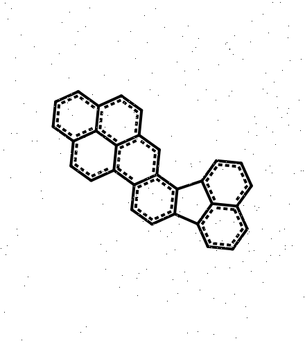 c1cc2c3c(cccc3c1)-c1c-2ccc2c1cc1ccc3cccc4ccc2c1c34